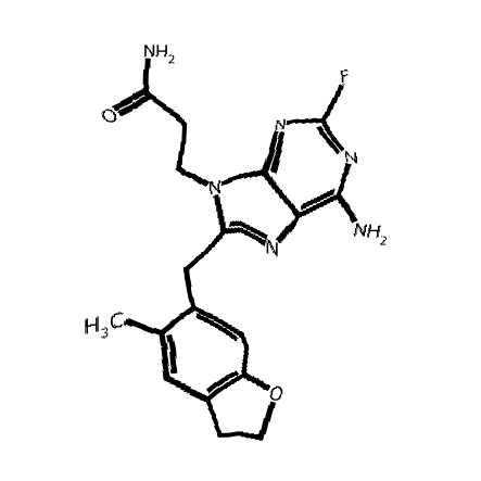 Cc1cc2c(cc1Cc1nc3c(N)nc(F)nc3n1CCC(N)=O)OCC2